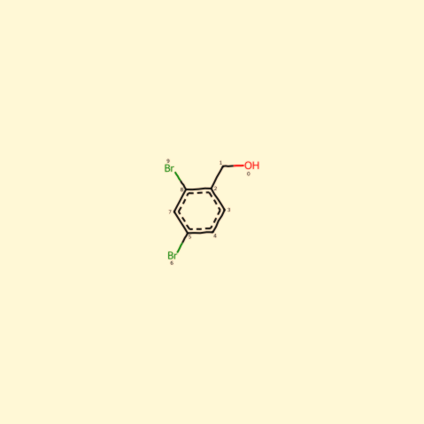 OCc1ccc(Br)cc1Br